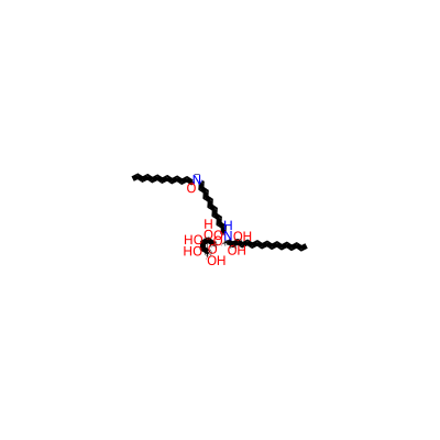 CCCCCCCCCCCCCC[C@@H](O)[C@@H](O)[C@H](CO[C@H]1O[C@H](CO)[C@H](O)[C@H](O)[C@H]1O)NC(=O)CCCCCCCCCCCN(C)C(=O)CCCCCCCCCCCC